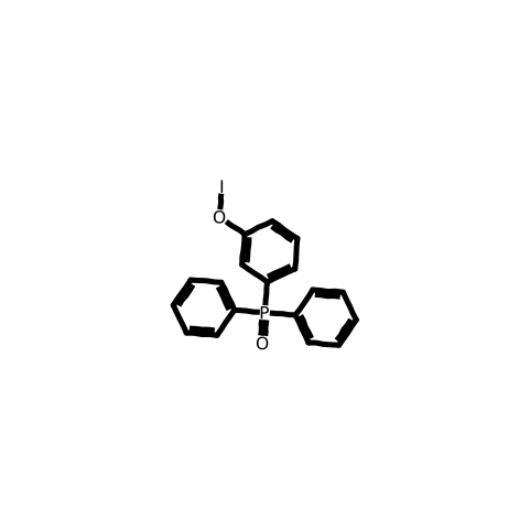 O=P(c1ccccc1)(c1ccccc1)c1cccc(OI)c1